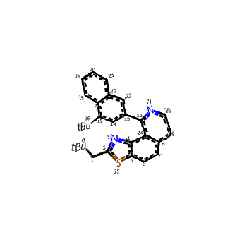 CC(C)(C)Cc1nc2c(ccc3ccnc(-c4cc(C(C)(C)C)c5ccccc5c4)c32)s1